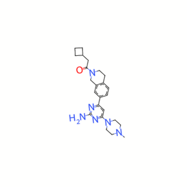 CN1CCN(c2cc(-c3ccc4c(c3)CN(C(=O)CC3CCC3)CC4)nc(N)n2)CC1